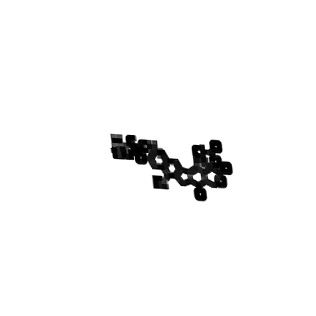 CCc1c2c(cc3ccc(O[Si](C)(C)C(C)(C)C)cc13)C1=CC3=C(COC(=O)C3(CC)OC(=O)Cl)C(=O)C1C2